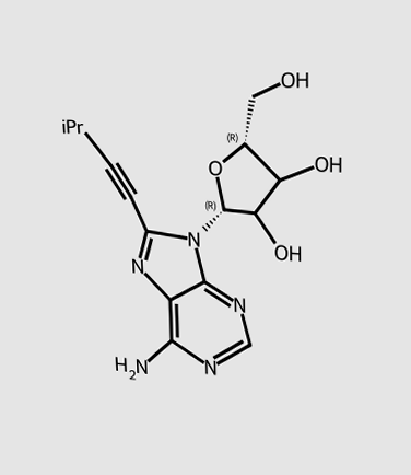 CC(C)C#Cc1nc2c(N)ncnc2n1[C@@H]1O[C@H](CO)C(O)C1O